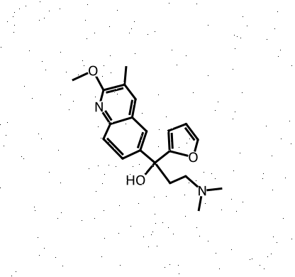 COc1nc2ccc(C(O)(CCN(C)C)c3ccco3)cc2cc1C